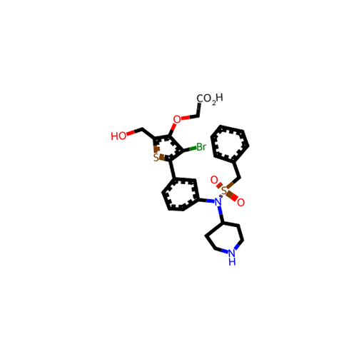 O=C(O)COc1c(CO)sc(-c2cccc(N(C3CCNCC3)S(=O)(=O)Cc3ccccc3)c2)c1Br